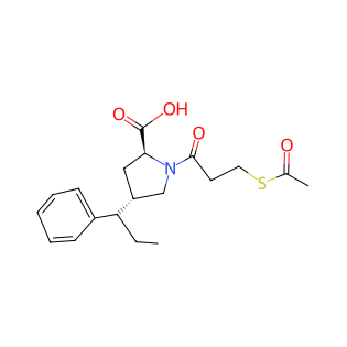 CCC(c1ccccc1)[C@@H]1C[C@@H](C(=O)O)N(C(=O)CCSC(C)=O)C1